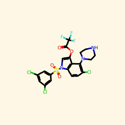 O=C(Oc1cn(S(=O)(=O)c2cc(Cl)cc(Cl)c2)c2ccc(Cl)c(N3CCNCC3)c12)C(F)(F)F